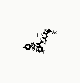 CC(=O)C1CC1CC(Nc1nc(-c2cn(S(=O)(=O)c3ccc(C)cc3)c3ncc(F)cc23)ncc1F)C(C)(C)C